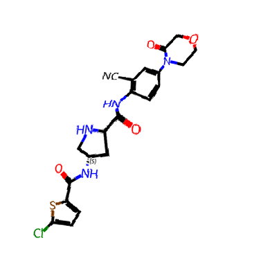 N#Cc1cc(N2CCOCC2=O)ccc1NC(=O)C1C[C@H](NC(=O)c2ccc(Cl)s2)CN1